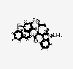 Cn1c2c(c3ccccc31)C(C(=O)NCc1ccccc1)N(c1ccc(F)cc1F)C(=O)CS2